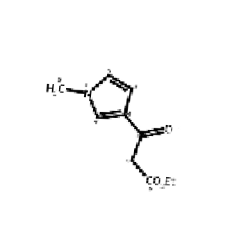 CCOC(=O)CC(=O)c1ccn(C)c1